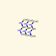 O=C[NH][AlH][NH]C=O.O=C[NH][AlH][NH]C=O.O=C[NH][AlH][NH]C=O